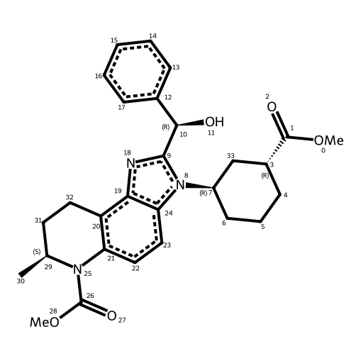 COC(=O)[C@@H]1CCC[C@@H](n2c([C@H](O)c3ccccc3)nc3c4c(ccc32)N(C(=O)OC)[C@@H](C)CC4)C1